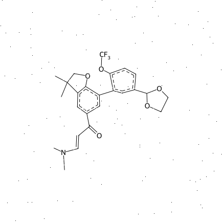 CN(C)C=CC(=O)c1cc(-c2cc(C3OCCO3)ccc2OC(F)(F)F)c2c(c1)C(C)(C)CO2